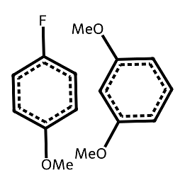 COc1ccc(F)cc1.COc1cccc(OC)c1